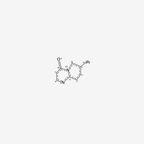 CC(C)c1ccc2nccc(=O)n2c1